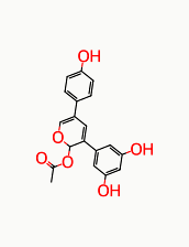 CC(=O)OC1OC=C(c2ccc(O)cc2)C=C1c1cc(O)cc(O)c1